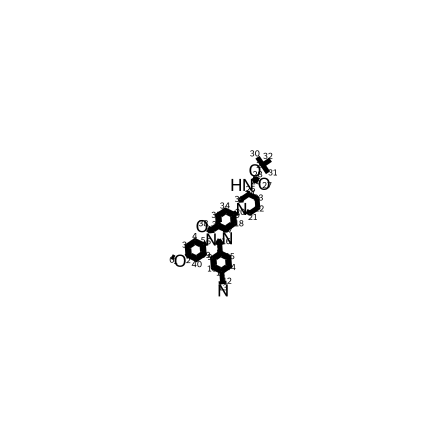 COc1ccc(-n2c(-c3ccc(C#N)cc3)nc3cc(N4CCC[C@H](NC(=O)OC(C)(C)C)C4)ccc3c2=O)cc1